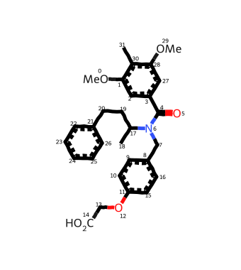 COc1cc(C(=O)N(Cc2ccc(OCC(=O)O)cc2)C(C)CCc2ccccc2)cc(OC)c1C